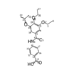 CCOc1cc(C(=O)Nc2ccc(C(=O)O)cc2)cc(OC(C)C)c1OCC